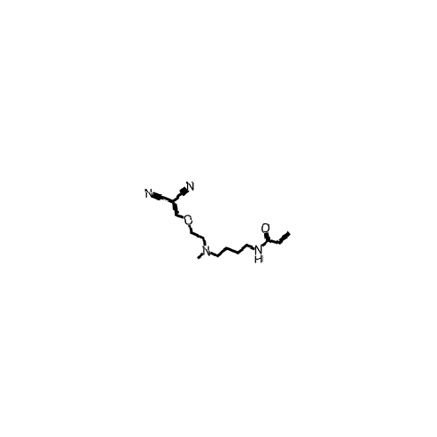 C=CC(=O)NCCCCN(C)CCOC=C(C#N)C#N